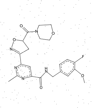 COc1cc(CNC(=O)c2cc(C3=NOC(C(=O)N4CCOCC4)C3)nc(C)n2)ccc1F